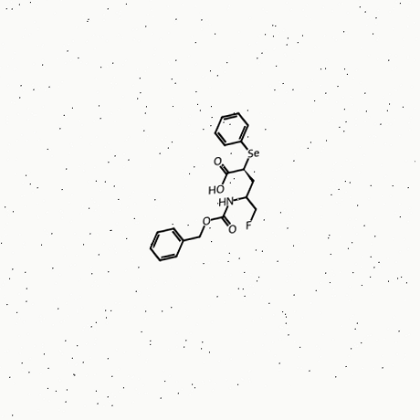 O=C(NC(CF)C[C@H]([Se]c1ccccc1)C(=O)O)OCc1ccccc1